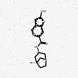 O=Cc1cc2cnc(C(=O)N[C@@H]3C[C@@H]4CCN(C4)C3)cc2o1